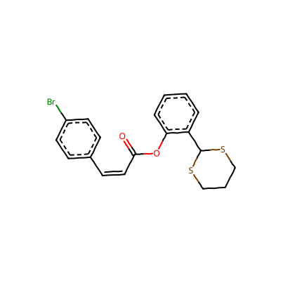 O=C(/C=C\c1ccc(Br)cc1)Oc1ccccc1C1SCCCS1